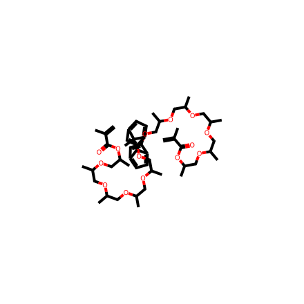 C=C(C)C(=O)OC(C)COC(C)COC(C)COC(C)COC(C)COC1=CC2=CC=C1C2C1(C)C2=CC=C1C(OCC(C)OCC(C)OCC(C)OCC(C)OCC(C)OC(=O)C(=C)C)=C2